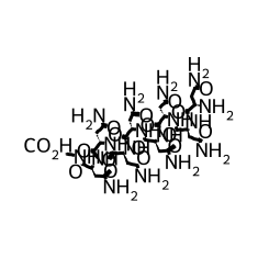 NC(=O)C[C@H](NC(=O)[C@H](CC(N)=O)NC(=O)[C@H](CC(N)=O)NC(=O)[C@H](CC(N)=O)NC(=O)[C@H](CC(N)=O)NC(=O)[C@H](CC(N)=O)NC(=O)[C@H](CC(N)=O)NC(=O)[C@@H](N)CC(N)=O)C(=O)NCC(=O)O